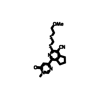 COCCSCSc1nc(-c2cc(=O)n(C)cn2)c2c(c1C#N)CCC2